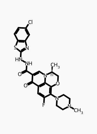 C[C@H]1COc2c(N3CCN(C)CC3)c(F)cc3c(=O)c(C(=O)NNc4nc5cc(Cl)ccc5s4)cn1c23